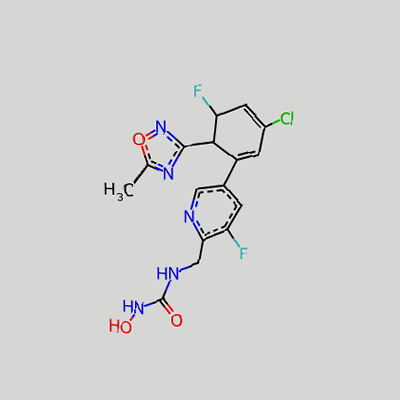 Cc1nc(C2C(c3cnc(CNC(=O)NO)c(F)c3)=CC(Cl)=CC2F)no1